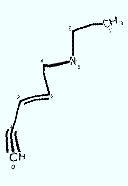 C#C/C=[C]/C[N]CC